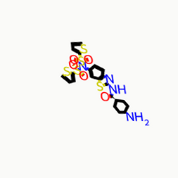 N[C@H]1CC[C@H](C(=O)Nc2nc3ccc(N(S(=O)(=O)c4cccs4)S(=O)(=O)c4cccs4)cc3s2)CC1